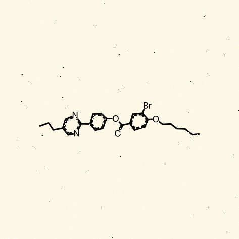 CCCCCCOc1ccc(C(=O)Oc2ccc(-c3ncc(CCC)cn3)cc2)cc1Br